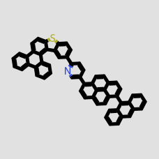 c1ccc2c(-c3ccc4ccc5c(-c6ccc(-c7ccc8sc9ccc%10c%11ccccc%11c%11ccccc%11c%10c9c8c7)nc6)ccc6ccc3c4c65)c3ccccc3cc2c1